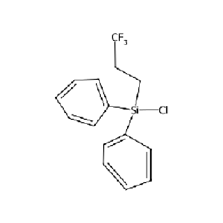 FC(F)(F)CC[Si](Cl)(c1ccccc1)c1ccccc1